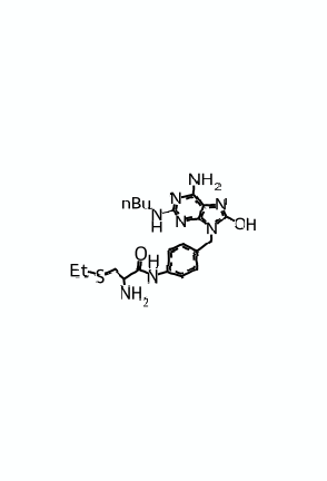 [CH2]CSCC(N)C(=O)Nc1ccc(Cn2c(O)nc3c(N)nc(NCCCC)nc32)cc1